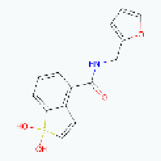 O=C(NCc1ccco1)c1cccc2c1C=CS2(O)O